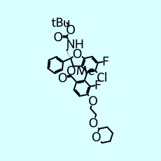 COC(=O)c1ccc(OCCO[C@@H]2CCCCO2)c(F)c1-c1c(Cl)c(F)cc2c1C[C@@](CNC(=O)OC(C)(C)C)(c1ccccc1)O2